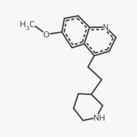 COc1ccc2nccc(CCC3CCCNC3)c2c1